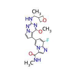 CNC(=O)c1cnc2c(F)cc(-c3ccn4nc(N[C@H](C)C5COC5)nc(OC)c34)cn12